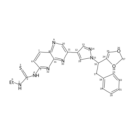 CCNC(=S)Nc1ccc2ncc(-c3cnn(C(Cc4ccccc4)C4=COCO4)c3)nc2n1